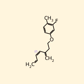 C=C/C=C\C(=C)CCOc1ccc(C)c(F)c1